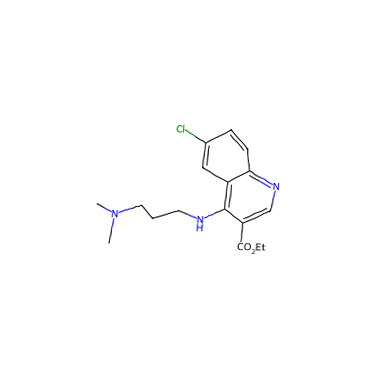 CCOC(=O)c1cnc2ccc(Cl)cc2c1NCCCN(C)C